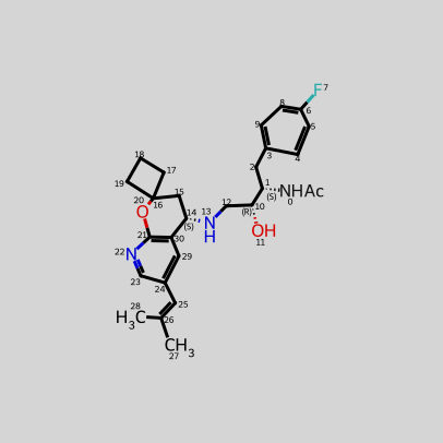 CC(=O)N[C@@H](Cc1ccc(F)cc1)[C@H](O)CN[C@H]1CC2(CCC2)Oc2ncc(C=C(C)C)cc21